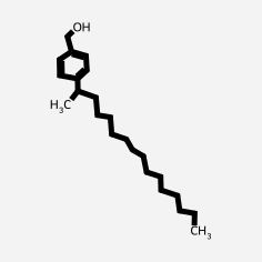 CCCCCCCCCCCCCCC(C)c1ccc(CO)cc1